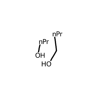 [CH2]CCCO.[CH2]CCO